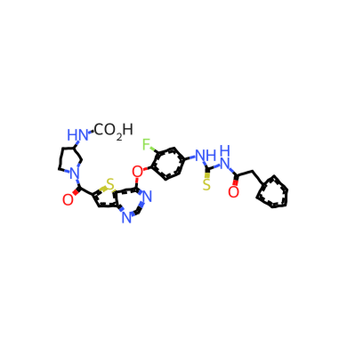 O=C(O)NC1CCN(C(=O)c2cc3ncnc(Oc4ccc(NC(=S)NC(=O)Cc5ccccc5)cc4F)c3s2)C1